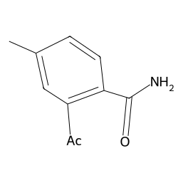 CC(=O)c1cc(C)ccc1C(N)=O